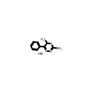 Br.CC1SC(N)=NN=C1c1ccccc1